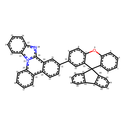 c1ccc2c(c1)Oc1ccc(-c3ccc4c5ccccc5n5c6ccccc6nc5c4c3)cc1C21c2ccccc2-c2ccccc21